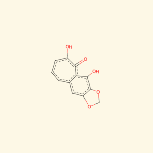 O=c1c(O)cccc2cc3c(c(O)c12)OCO3